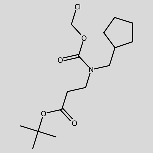 CC(C)(C)OC(=O)CCN(CC1CCCC1)C(=O)OCCl